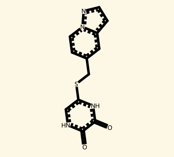 O=c1[nH]cc(SCc2ccn3nccc3c2)[nH]c1=O